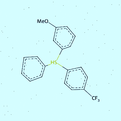 COc1cccc([SH](c2ccccc2)c2ccc(C(F)(F)F)cc2)c1